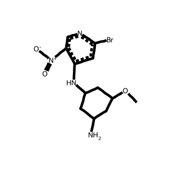 COC1CC(N)CC(Nc2cc(Br)ncc2[N+](=O)[O-])C1